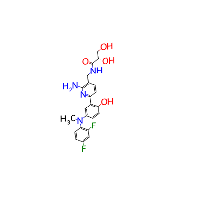 CN(c1ccc(O)c(-c2ccc(CNC(=O)[C@@H](O)CO)c(N)n2)c1)c1ccc(F)cc1F